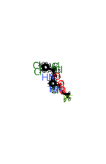 O=C(NOCC1CC1(F)F)c1cc(NC(=O)C2C(c3ccc(Cl)c(Cl)c3)C2(Cl)Cl)ccc1Cl